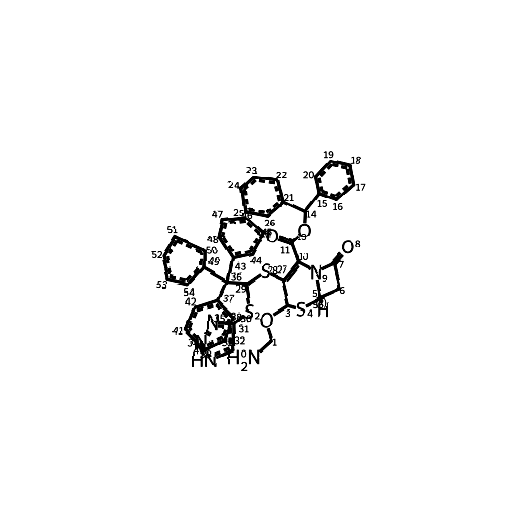 NCOC1S[C@@H]2CC(=O)N2C(C(=O)OC(c2ccccc2)c2ccccc2)=C1SC(Sc1c[nH]nn1)C(c1ccccc1)(c1ccccc1)c1ccccc1